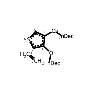 C=C.CCCCCCCCCCOc1cscc1OCCCCCCCCCC